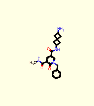 CNC(=O)c1cc(C(=O)NC2CC3(CC(N)C3)C2)cn(Cc2ccccc2)c1=O